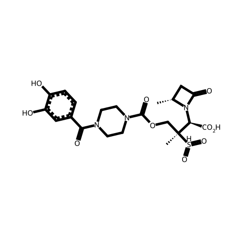 C[C@@H]1CC(=O)N1[C@@H](C(=O)O)[C@](C)(COC(=O)N1CCN(C(=O)c2ccc(O)c(O)c2)CC1)[SH](=O)=O